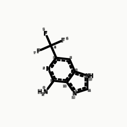 Nc1nc(C(F)(F)F)cc2[nH]cnc12